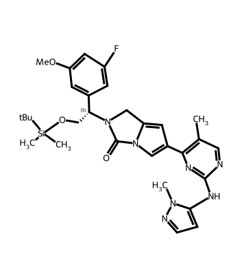 COc1cc(F)cc([C@@H](CO[Si](C)(C)C(C)(C)C)N2Cc3cc(-c4nc(Nc5ccnn5C)ncc4C)cn3C2=O)c1